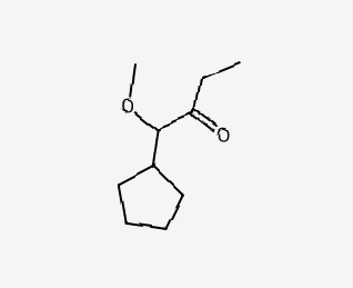 CCC(=O)C(OC)C1CCCC1